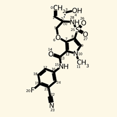 C=C[C@]1(CO)COc2c(cn(C)c2C(=O)Nc2ccc(F)c(C#N)c2)S(=O)(=O)N1